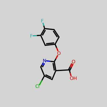 O=C(O)c1cc(Cl)cnc1Oc1ccc(F)c(F)c1